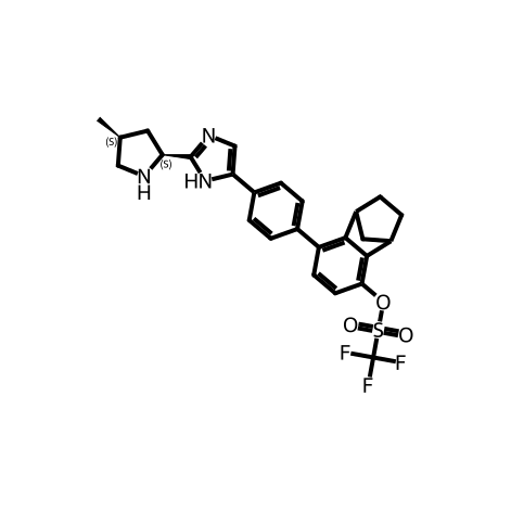 C[C@@H]1CN[C@H](c2ncc(-c3ccc(-c4ccc(OS(=O)(=O)C(F)(F)F)c5c4C4CCC5C4)cc3)[nH]2)C1